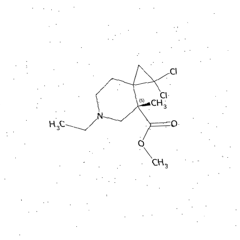 CCN1CCC2(CC2(Cl)Cl)[C@](C)(C(=O)OC)C1